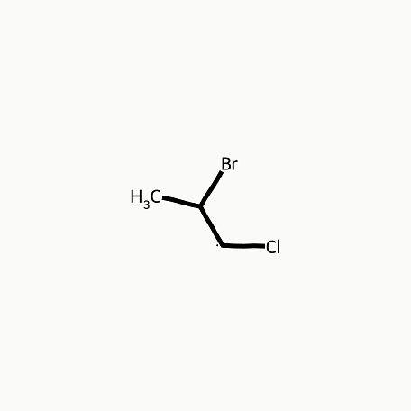 CC(Br)[CH]Cl